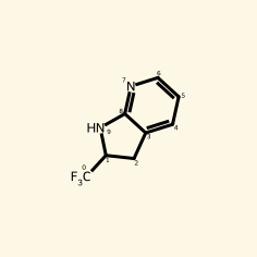 FC(F)(F)C1Cc2cccnc2N1